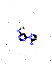 CNc1cc(-n2nccc2N)ncn1